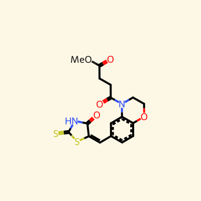 COC(=O)CCC(=O)N1CCOc2ccc(C=C3SC(=S)NC3=O)cc21